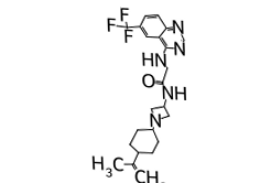 C=C(C)C1CCC(N2CC(NC(=O)CNc3ncnc4ccc(C(F)(F)F)cc34)C2)CC1